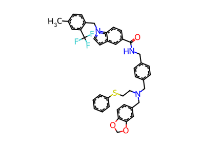 Cc1ccc(Cn2ccc3cc(C(=O)NCc4ccc(CN(CCSc5ccccc5)Cc5ccc6c(c5)OCO6)cc4)ccc32)c(C(F)(F)F)c1